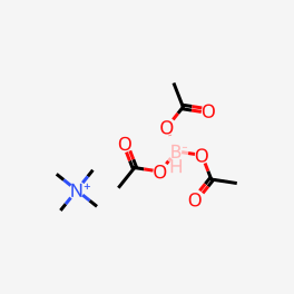 CC(=O)O[BH-](OC(C)=O)OC(C)=O.C[N+](C)(C)C